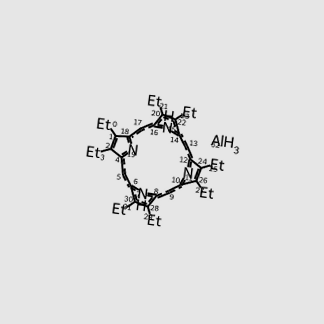 CCC1=C(CC)c2cc3[nH]c(cc4nc(cc5[nH]c(cc1n2)c(CC)c5CC)C(CC)=C4CC)c(CC)c3CC.[AlH3]